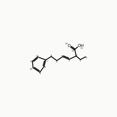 CCC(C=CCCc1ccccc1)C(=O)O